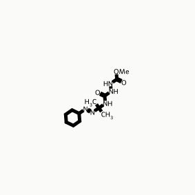 COC(=O)NNC(=O)NC(C)(C)/N=N/C1CCCCC1